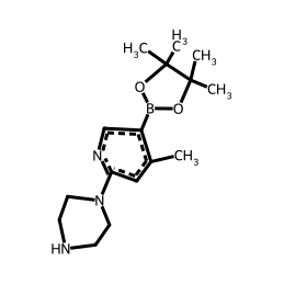 Cc1cc(N2CCNCC2)ncc1B1OC(C)(C)C(C)(C)O1